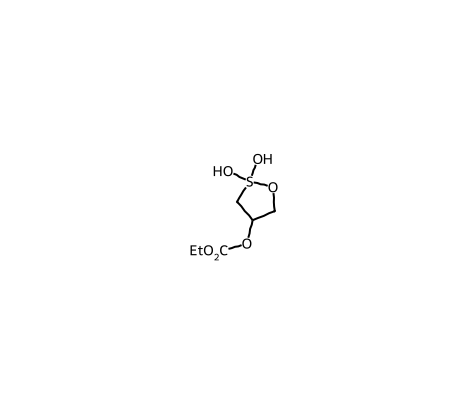 CCOC(=O)OC1COS(O)(O)C1